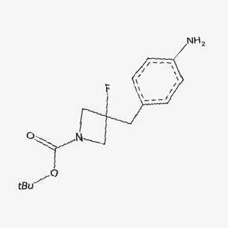 CC(C)(C)OC(=O)N1CC(F)(Cc2ccc(N)cc2)C1